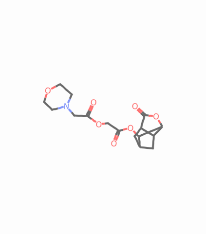 O=C(CN1CCOCC1)OCC(=O)OC1C2CC3C(=O)OC1C3C2